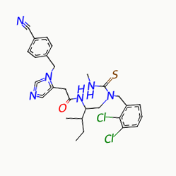 CCC(C)C(CN(Cc1cccc(Cl)c1Cl)C(=S)NC)NC(=O)Cc1cncn1Cc1ccc(C#N)cc1